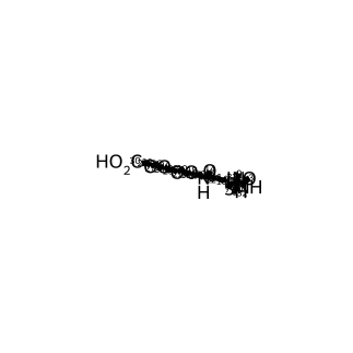 CN1C(=O)N[C@H]2CS[C@@H](CCCCC(=O)NCCOCCOCCOCCOCCC(=O)O)[C@H]21